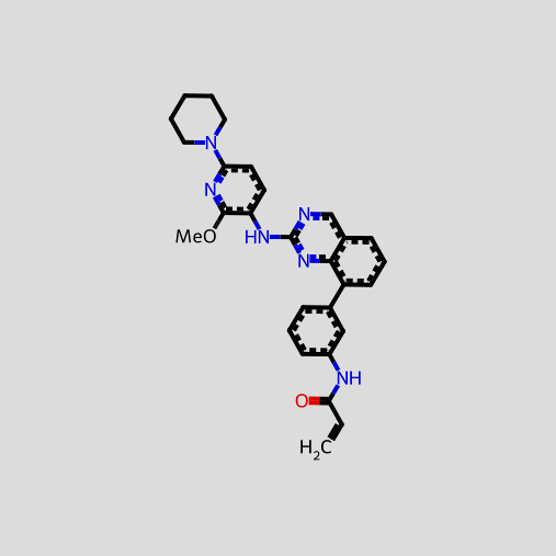 C=CC(=O)Nc1cccc(-c2cccc3cnc(Nc4ccc(N5CCCCC5)nc4OC)nc23)c1